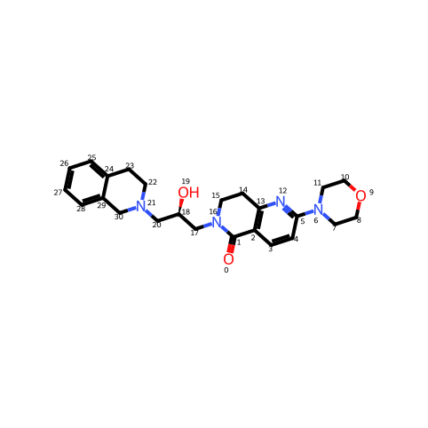 O=C1c2ccc(N3CCOCC3)nc2CCN1C[C@H](O)CN1CCc2ccccc2C1